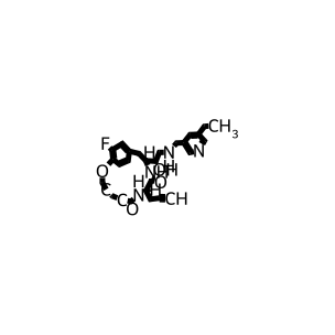 C#CC[C@@H]1NC(=O)CCCCOc2ccc(cc2F)C[C@@H]([C@H](O)CNCc2cncc(CC)c2)NC1=O